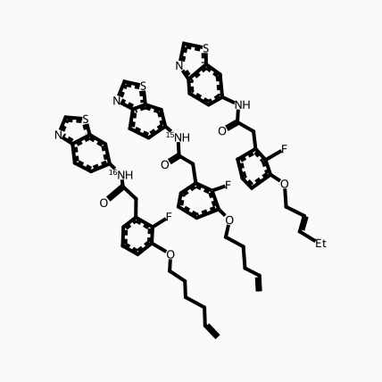 C=CCCCCOc1cccc(CC(=O)[16NH]c2ccc3ncsc3c2)c1F.C=CCCCOc1cccc(CC(=O)[15NH]c2ccc3ncsc3c2)c1F.CCC=CCOc1cccc(CC(=O)Nc2ccc3ncsc3c2)c1F